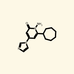 Nn1c(C2CCCCCC2)cc(-n2ccnc2)cc1=O